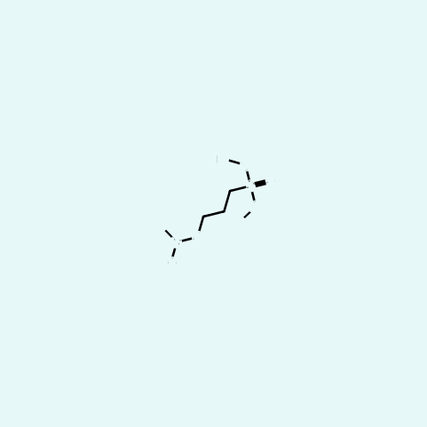 CCOP(=O)(CCCON(C(=O)O)C(C)C)OCC